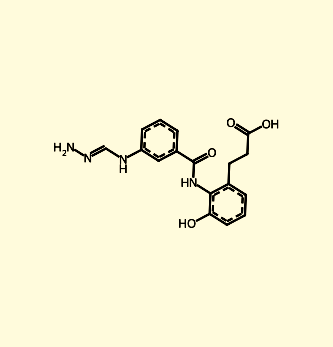 NN=CNc1cccc(C(=O)Nc2c(O)cccc2CCC(=O)O)c1